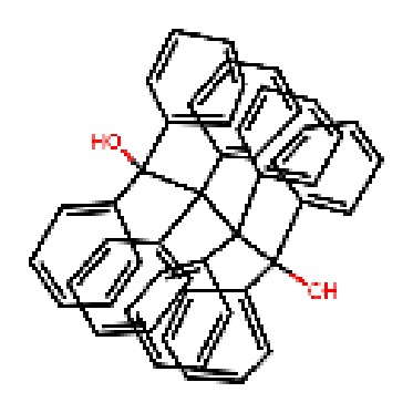 OC(c1ccccc1)(c1ccccc1)C(c1ccccc1)(c1ccccc1)C(c1ccccc1)(c1ccccc1)C(O)(c1ccccc1)c1ccccc1